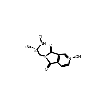 CC(C)(C)[C@@H](CN1C(=O)c2cc[n+](O)cc2C1=O)NCl